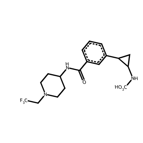 O=C(O)NC1CC1c1cccc(C(=O)NC2CCN(CC(F)(F)F)CC2)c1